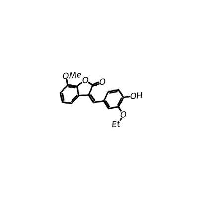 CCOc1cc(/C=C2\C(=O)Oc3c(OC)cccc32)ccc1O